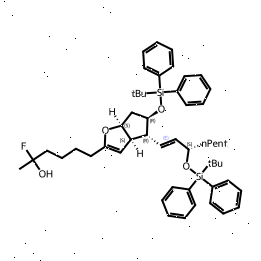 CCCCC[C@@H](/C=C/[C@@H]1[C@H]2C=C(CCCCC(C)(O)F)O[C@H]2C[C@H]1O[Si](c1ccccc1)(c1ccccc1)C(C)(C)C)O[Si](c1ccccc1)(c1ccccc1)C(C)(C)C